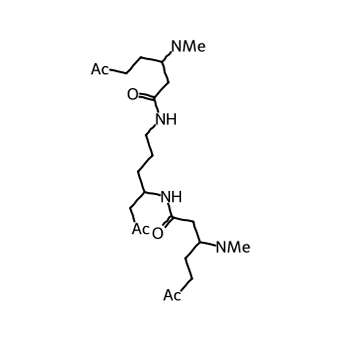 CNC(CCC(C)=O)CC(=O)NCCCC(CC(C)=O)NC(=O)CC(CCC(C)=O)NC